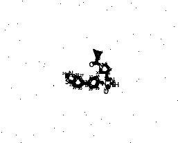 O=C(C1CC1)N1CCC(c2n[nH]c(=O)n2-c2ccc(-c3ccc4scnc4c3)cc2)C1